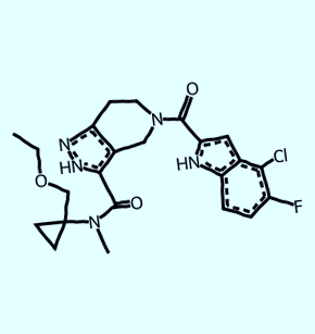 CCOCC1(N(C)C(=O)c2[nH]nc3c2CN(C(=O)c2cc4c(Cl)c(F)ccc4[nH]2)CC3)CC1